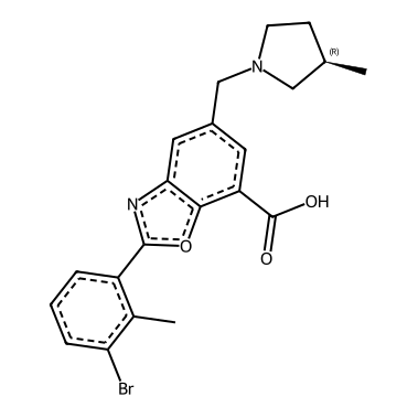 Cc1c(Br)cccc1-c1nc2cc(CN3CC[C@@H](C)C3)cc(C(=O)O)c2o1